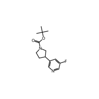 CC(C)(C)OC(=O)N1CCC(c2cncc(F)c2)C1